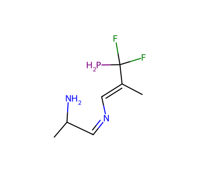 C/C(=C\N=C/C(C)N)C(F)(F)P